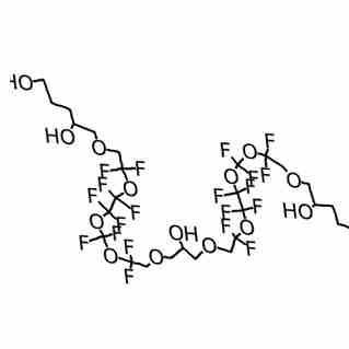 OCCCC(O)COCC(F)(F)OC(F)(F)OC(F)(F)C(F)(F)OC(F)(F)COCC(O)COCC(F)(F)OC(F)(F)OC(F)(F)C(F)(F)OC(F)(F)COCC(O)CCCO